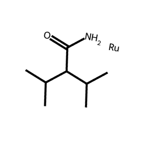 CC(C)C(C(N)=O)C(C)C.[Ru]